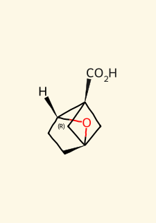 O=C(O)[C@]12C[C@]3(CC[C@H]1O3)C2